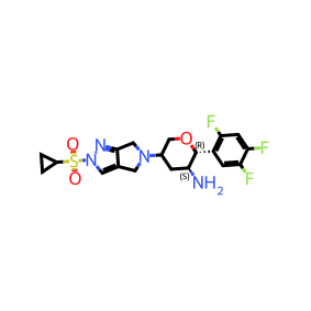 N[C@H]1CC(N2Cc3cn(S(=O)(=O)C4CC4)nc3C2)CO[C@@H]1c1cc(F)c(F)cc1F